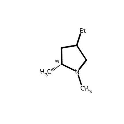 CCC1C[C@@H](C)N(C)C1